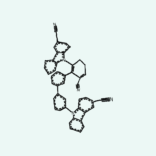 N#CC1=CCCC(n2c3ccccc3c3cc(C#N)ccc32)=C1c1cccc(-c2cccc(-n3c4ccccc4c4cc(C#N)ccc43)c2)c1